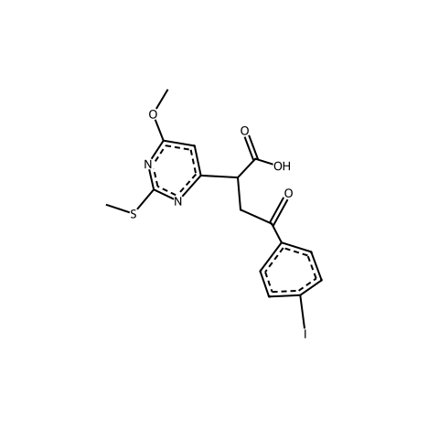 COc1cc(C(CC(=O)c2ccc(I)cc2)C(=O)O)nc(SC)n1